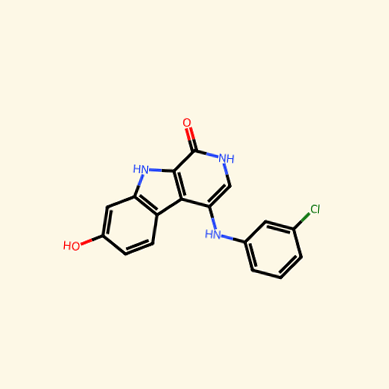 O=c1[nH]cc(Nc2cccc(Cl)c2)c2c1[nH]c1cc(O)ccc12